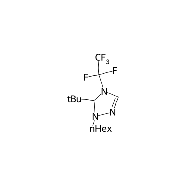 CCCCCCN1N=CN(C(F)(F)C(F)(F)F)C1C(C)(C)C